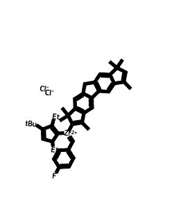 CCC1=[C]([Zr+2](=[CH]c2ccc(F)cc2)[C]2=C(C)c3cc4c(cc3C2(C)C)Cc2cc3c(cc2-4)C(C)=CC3(C)C)C(CC)C=C1C(C)(C)C.[Cl-].[Cl-]